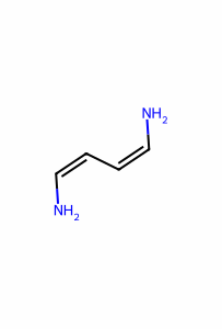 N/C=C\C=C/N